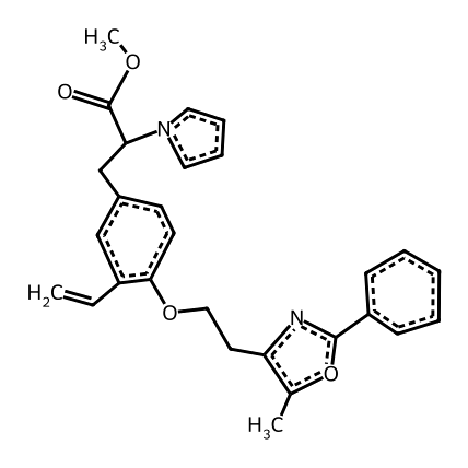 C=Cc1cc(CC(C(=O)OC)n2cccc2)ccc1OCCc1nc(-c2ccccc2)oc1C